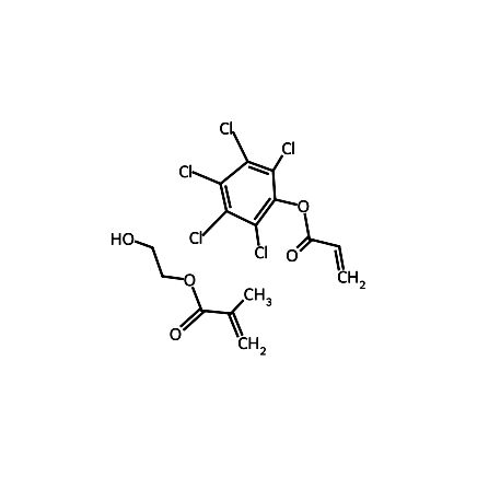 C=C(C)C(=O)OCCO.C=CC(=O)Oc1c(Cl)c(Cl)c(Cl)c(Cl)c1Cl